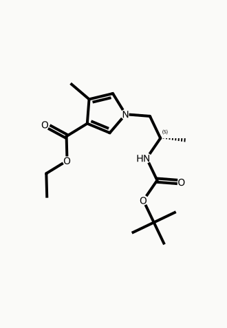 CCOC(=O)c1cn(C[C@H](C)NC(=O)OC(C)(C)C)cc1C